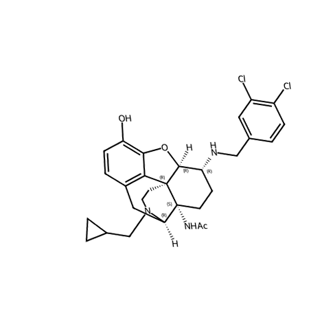 CC(=O)N[C@@]12CC[C@@H](NCc3ccc(Cl)c(Cl)c3)[C@@H]3Oc4c(O)ccc5c4[C@@]31CCN(CC1CC1)[C@@H]2C5